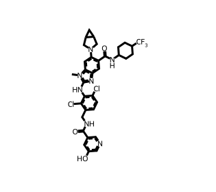 Cn1c(Nc2c(Cl)ccc(CNC(=O)c3cncc(O)c3)c2Cl)nc2cc(C(=O)NC3CCC(C(F)(F)F)CC3)c(N3CC4CC4C3)cc21